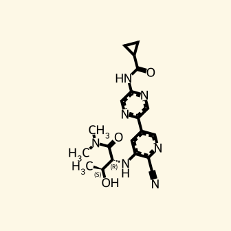 C[C@H](O)[C@@H](Nc1cc(-c2cnc(NC(=O)C3CC3)cn2)cnc1C#N)C(=O)N(C)C